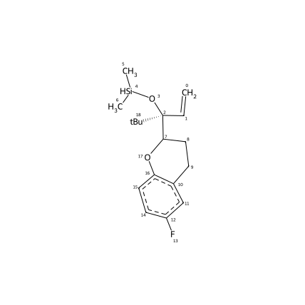 C=C[C@](O[SiH](C)C)(C1CCc2cc(F)ccc2O1)C(C)(C)C